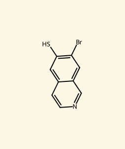 Sc1cc2ccncc2cc1Br